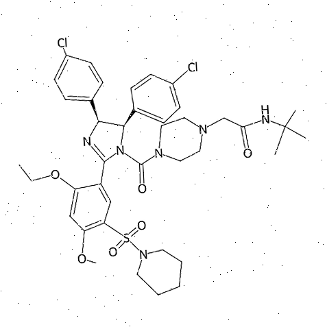 CCOc1cc(OC)c(S(=O)(=O)N2CCCCC2)cc1C1=N[C@@H](c2ccc(Cl)cc2)[C@@H](c2ccc(Cl)cc2)N1C(=O)N1CCN(CC(=O)NC(C)(C)C)CC1